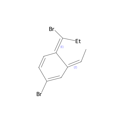 C/C=c1/cc(Br)cc/c1=C(\Br)CC